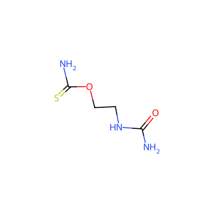 NC(=O)NCCOC(N)=S